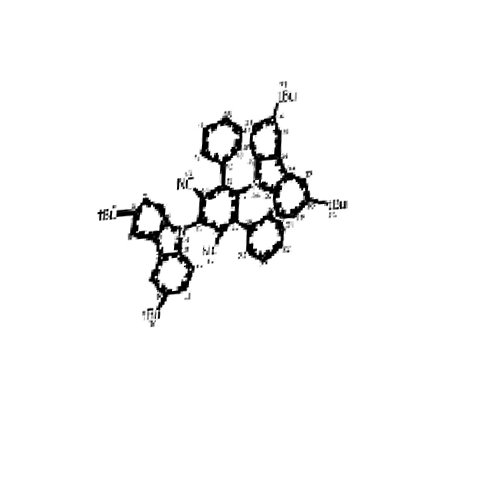 CC(C)(C)c1ccc2c(c1)c1cc(C(C)(C)C)ccc1n2-c1c(C#N)c(-c2ccccc2)c(-n2c3ccc(C(C)(C)C)cc3c3cc(C(C)(C)C)ccc32)c(-c2ccccc2)c1C#N